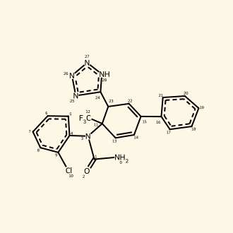 NC(=O)N(c1ccccc1Cl)C1(C(F)(F)F)C=CC(c2ccccc2)=CC1c1nnn[nH]1